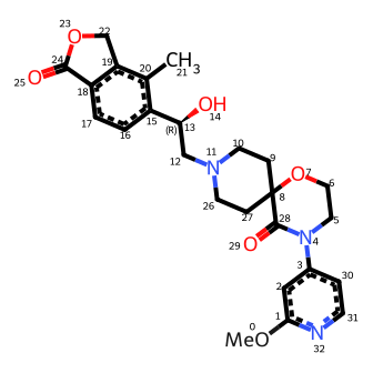 COc1cc(N2CCOC3(CCN(C[C@H](O)c4ccc5c(c4C)COC5=O)CC3)C2=O)ccn1